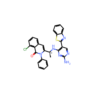 C[C@H](Nc1nc(N)ncc1-c1nc2ccccc2s1)c1cc2cccc(Cl)c2c(=O)n1-c1ccccc1